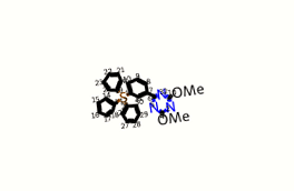 COc1nc(OC)nc(-c2cccc(S(c3ccccc3)(c3ccccc3)c3ccccc3)c2)n1